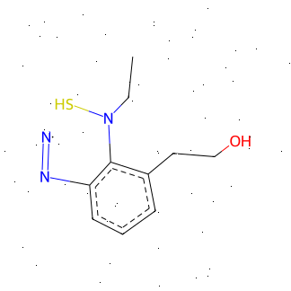 CCN(S)c1c(CCO)cccc1N=[N]